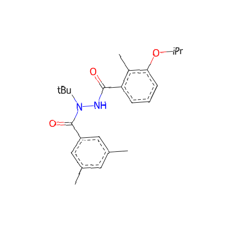 Cc1cc(C)cc(C(=O)N(NC(=O)c2cccc(OC(C)C)c2C)C(C)(C)C)c1